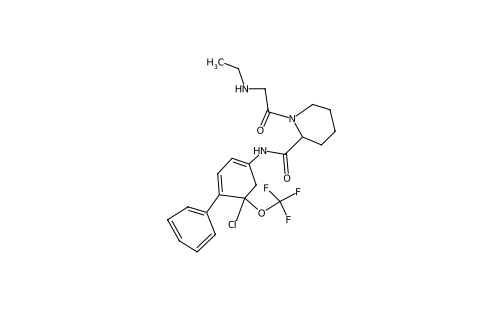 CCNCC(=O)N1CCCCC1C(=O)NC1=CC=C(c2ccccc2)C(Cl)(OC(F)(F)F)C1